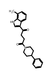 Cc1cccc2c(C(=O)CCC(=O)N3CCC(c4ccccc4)CC3)c[nH]c12